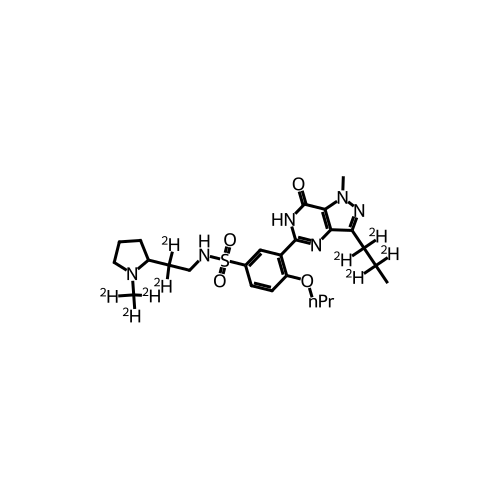 [2H]C([2H])(CNS(=O)(=O)c1ccc(OCCC)c(-c2nc3c(C([2H])([2H])C([2H])([2H])C)nn(C)c3c(=O)[nH]2)c1)C1CCCN1C([2H])([2H])[2H]